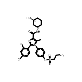 Cc1c(C(=O)N[C@H]2CCC[C@H](O)C2)nc(-c2ccc(Cl)cc2Cl)n1-c1ccc(OS(=O)(=O)CCC(F)(F)F)cc1